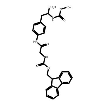 CC(C)(C)OC(=O)NC(Cc1ccc(NC(=O)CNC(=O)OCC2c3ccccc3-c3ccccc32)cc1)C(=O)O